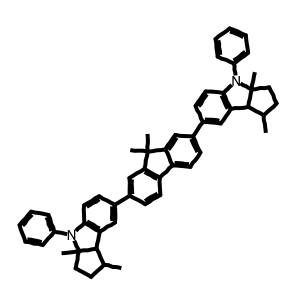 CC1CCC2(C)C1c1cc(-c3ccc4c(c3)C(C)(C)c3cc(-c5ccc6c(c5)C5C(C)CCC5(C)N6c5ccccc5)ccc3-4)ccc1N2c1ccccc1